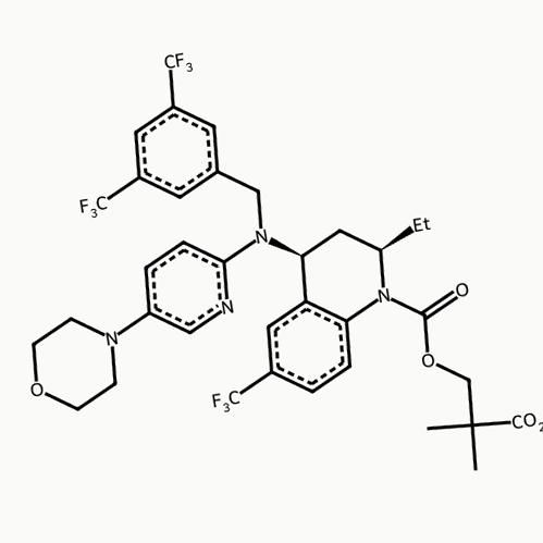 CC[C@@H]1C[C@H](N(Cc2cc(C(F)(F)F)cc(C(F)(F)F)c2)c2ccc(N3CCOCC3)cn2)c2cc(C(F)(F)F)ccc2N1C(=O)OCC(C)(C)C(=O)O